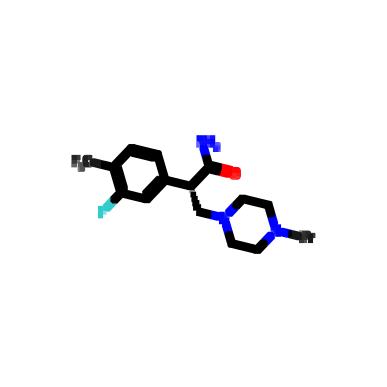 CC(C)N1CCN(C[C@@H](C(N)=O)c2ccc(C(F)(F)F)c(F)c2)CC1